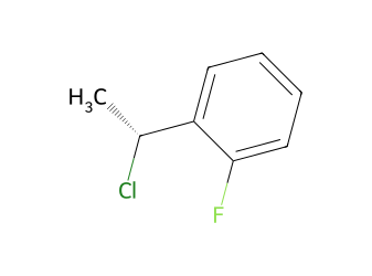 C[C@@H](Cl)c1ccccc1F